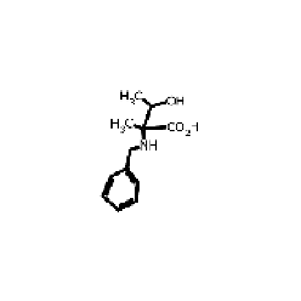 CC(O)C(C)(NCc1ccccc1)C(=O)O